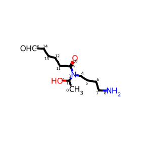 CC(O)N(CCCCN)C(=O)CCCCC=O